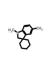 Cc1ccc2c(c1)C1(CCCCC1)CN2C